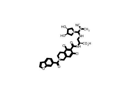 CN(C#N)C(NC[C@H](NC(=O)c1c(Cl)cc2c(c1Cl)CCN(C(=O)c1ccc3ccoc3c1)C2)C(=O)O)N1C[C@@H](O)[C@H](O)C1